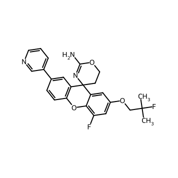 CC(C)(F)COc1cc(F)c2c(c1)C1(CCOC(N)=N1)c1cc(-c3cccnc3)ccc1O2